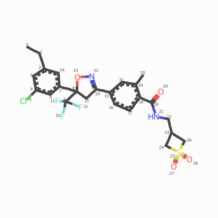 CCc1cc(Cl)cc(C2(C(F)(F)F)CC(c3ccc(C(=O)NCC4CS(=O)(=O)C4)c(C)c3)=NO2)c1